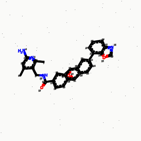 Cc1cc(N)nc(C)c1CNC(=O)c1ccc2c(c1)c1oc2c2ccc(-c3cccc4ncoc34)cc21